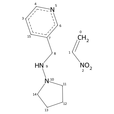 C=C[N+](=O)[O-].c1cncc(CNN2CCCC2)c1